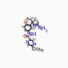 COc1cnc(C(=O)Nc2ccc3c(c2)C2(CCO3)CSC(N)=N2)cn1